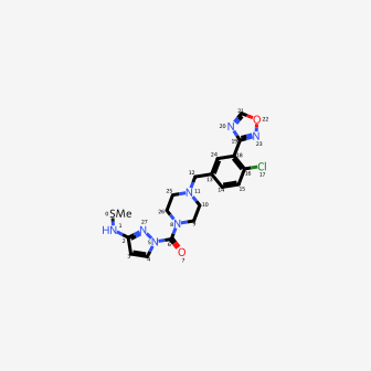 CSNc1ccn(C(=O)N2CCN(Cc3ccc(Cl)c(-c4ncon4)c3)CC2)n1